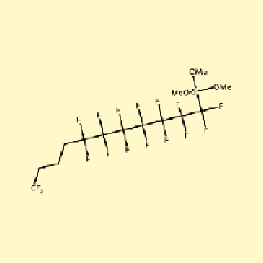 CO[Si](OC)(OC)C(F)(F)C(F)(F)C(F)(F)C(F)(F)C(F)(F)C(F)(F)C(F)(F)CCCC(F)(F)F